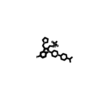 CC(C)C1CCC(N2CCC(n3c(CNS(C)(=O)=O)c(CN4CCCC4)c4cc(F)ccc43)CC2)CC1